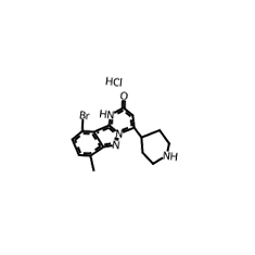 Cc1ccc(Br)c2c1nn1c(C3CCNCC3)cc(=O)[nH]c21.Cl